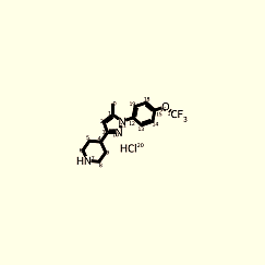 Cc1cc(C2CCNCC2)nn1-c1ccc(OC(F)(F)F)cc1.Cl